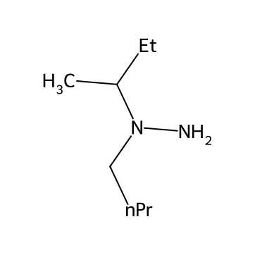 CCCCN(N)C(C)CC